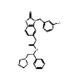 N#Cc1cccc(Cn2c(=O)oc3ccc(CC(=O)N[C@H](CN4CCCC4)c4ccccc4)cc32)c1